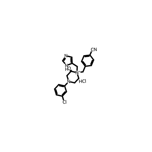 Cl.N#Cc1ccc(C[N+]2(Cc3cnc[nH]3)CCN(c3cccc(Cl)c3)CC2=O)cc1